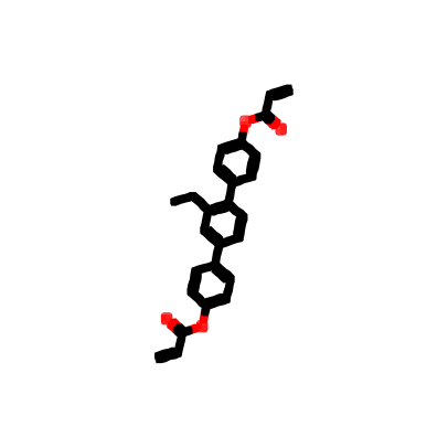 C=CC(=O)Oc1ccc(-c2ccc(-c3ccc(OC(=O)C=C)cc3)c(CC)c2)cc1